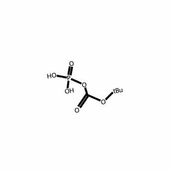 CC(C)(C)OC(=O)OP(=O)(O)O